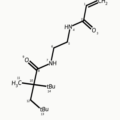 C=CC(=O)NCCNC(=O)C(C)(CC(C)(C)C)C(C)(C)C